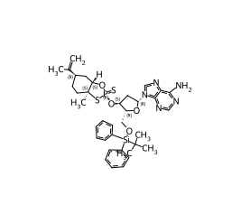 C=C(C)[C@@H]1CC[C@]2(C)S[P@](=S)(O[C@H]3C[C@H](n4cnc5c(N)ncnc54)O[C@@H]3CO[Si](c3ccccc3)(c3ccccc3)C(C)(C)C)O[C@H]2C1